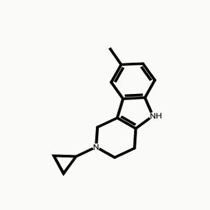 Cc1ccc2[nH]c3c(c2c1)CN(C1CC1)CC3